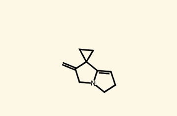 C=C1CN2CCC=C2C12CC2